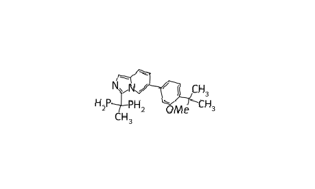 COC(C)(C)c1ccc(-c2ccc3cnc(C(C)(P)P)n3c2)cc1